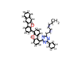 C=C/C=C\C=C/Cc1nc(-c2ccccc2)nc(-c2cccc3oc4c(-c5cccc6c5oc5cc7ccccc7cc56)cccc4c23)n1